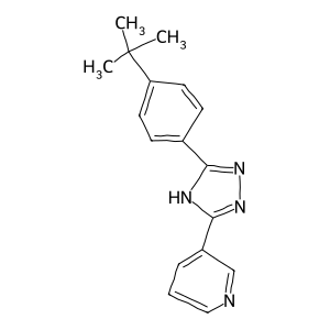 CC(C)(C)c1ccc(-c2nnc(-c3cccnc3)[nH]2)cc1